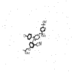 C[C@H](O)COc1ccc(N2CCN(C[C@@](C)(O)c3ccc(C(C)(C)O)nc3)C[C@H]2c2ccc(Cl)cc2)c(C#N)c1